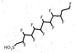 O=S(=O)(O)CC(F)C(F)C(F)C(F)C(F)C(F)C(F)C(F)C(F)CCF